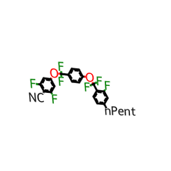 CCCCCc1ccc(C(F)(F)Oc2ccc(C(F)(F)Oc3cc(F)c(C#N)c(F)c3)cc2)c(F)c1